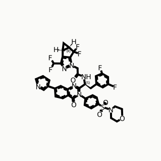 O=C(Cn1nc(C(F)F)c2c1C(F)(F)[C@@H]1C[C@H]21)N[C@@H](Cc1cc(F)cc(F)c1)c1nc2cc(-c3cccnc3)ccc2c(=O)n1-c1ccc(S(=O)(=O)N2CCOCC2)cc1